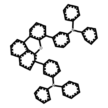 c1ccc(N(c2ccccc2)c2cccc(-c3cccc4c3Oc3c(-c5cccc(N(c6ccccc6)c6ccccc6)c5)ccc5cccc-4c35)c2)cc1